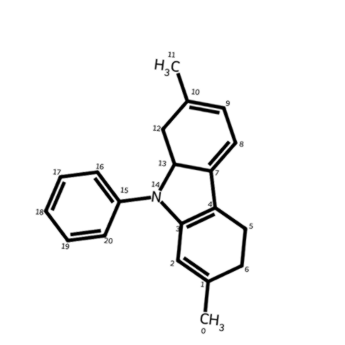 CC1=CC2=C(CC1)C1=CC=C(C)CC1N2c1ccccc1